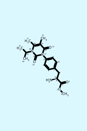 COC(=O)[C@@H](N)Cc1ccc(-n2c(=O)c(C)c(C)n(C(C)C)c2=O)cc1